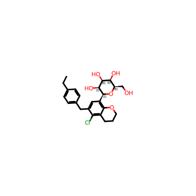 CCc1ccc(Cc2cc([C@@H]3O[C@H](CO)[C@H](O)[C@H](O)[C@@H]3O)c3c(c2Cl)CCCO3)cc1